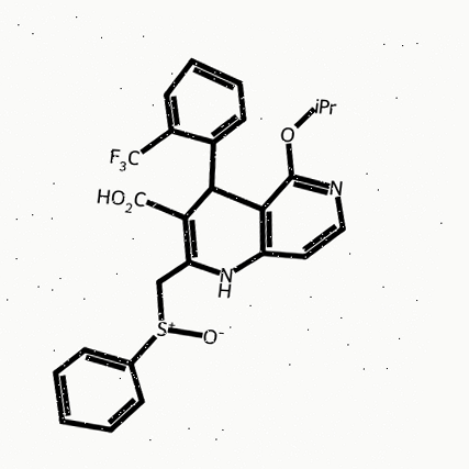 CC(C)Oc1nccc2c1C(c1ccccc1C(F)(F)F)C(C(=O)O)=C(C[S+]([O-])c1ccccc1)N2